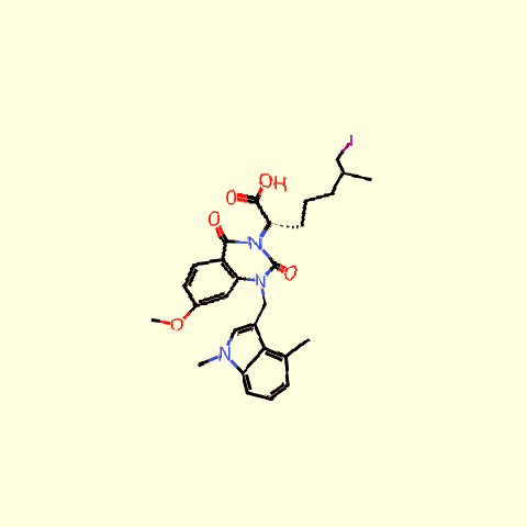 COc1ccc2c(=O)n([C@@H](CCCC(C)CI)C(=O)O)c(=O)n(Cc3cn(C)c4cccc(C)c34)c2c1